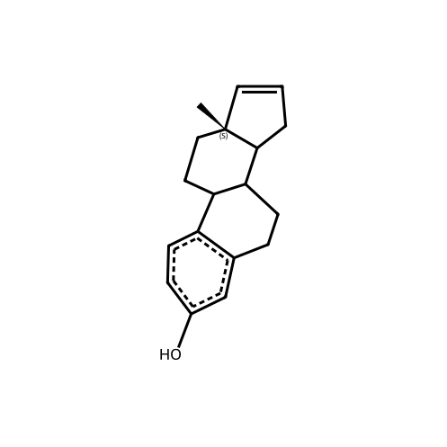 C[C@@]12C=CCC1C1CCc3cc(O)ccc3C1CC2